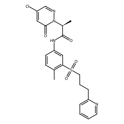 Cc1ccc(NC(=O)[C@H](C)n2ncc(Cl)cc2=O)cc1S(=O)(=O)CCCc1ccccn1